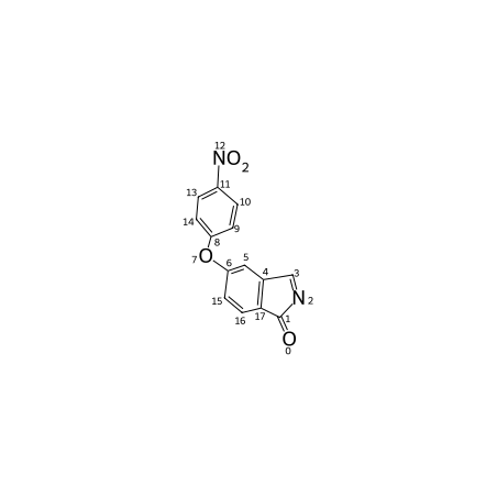 O=C1N=Cc2cc(Oc3ccc([N+](=O)[O-])cc3)ccc21